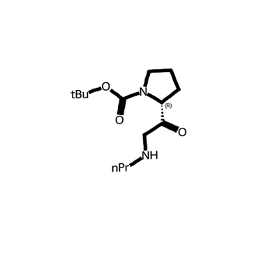 CCCNCC(=O)[C@H]1CCCN1C(=O)OC(C)(C)C